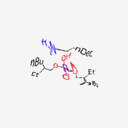 CCCCC(CC)COP(=O)(O)OCC(CC)CCCC.CCCCCCCCCCCCN